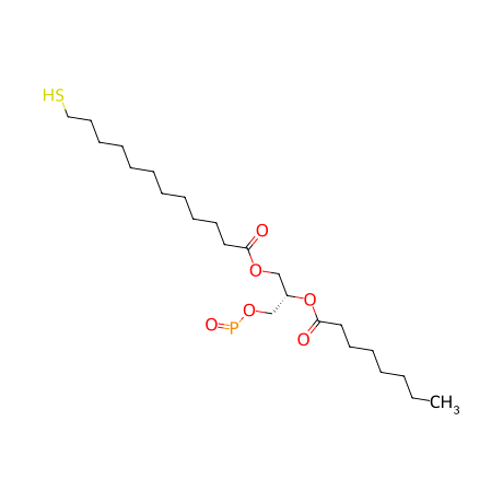 CCCCCCCC(=O)O[C@H](COP=O)COC(=O)CCCCCCCCCCCS